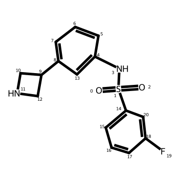 O=S(=O)(Nc1cccc(C2CNC2)c1)c1cccc(F)c1